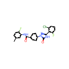 Cc1ccc(F)c(NC(=O)c2ccc(-n3nc(-c4c(F)cccc4Cl)[nH]c3=O)cc2)c1